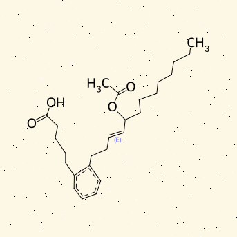 CCCCCCCCC(/C=C/CCc1ccccc1CCCCC(=O)O)OC(C)=O